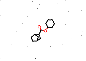 O=C(OC1CCCCC1)C1CC2CCC1C2